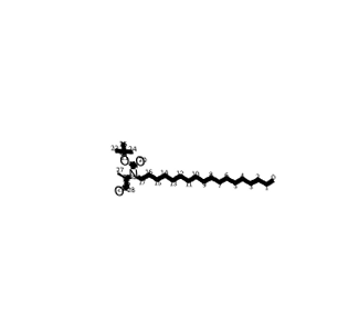 CCCCCCCCCCCCCCCCCCN(C(=O)OC(C)(C)C)[C@H](C)[C]=O